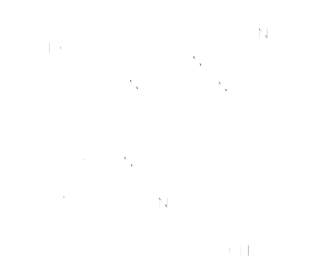 CSc1cc2n(Cn3cncn3)c(C)cc(=O)n2n1